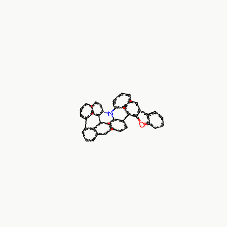 c1ccc(-c2cccc3cccc(-c4ccccc4N(c4ccccc4)c4ccccc4-c4cccc5c4oc4ccccc45)c23)cc1